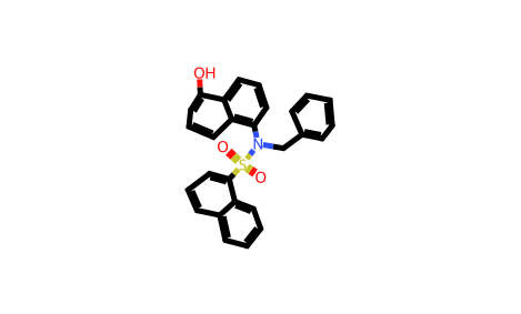 O=S(=O)(c1cccc2ccccc12)N(Cc1ccccc1)c1cccc2c(O)cccc12